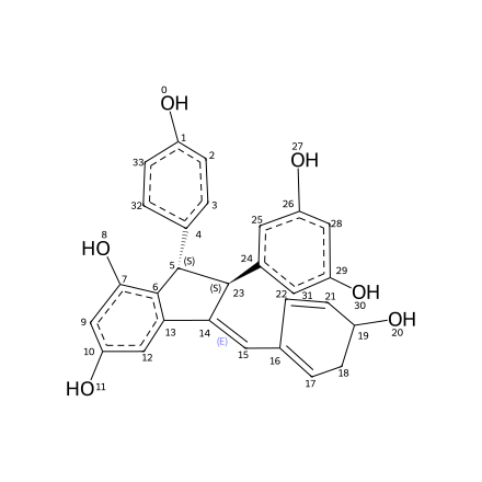 Oc1ccc([C@H]2c3c(O)cc(O)cc3/C(=C/C3=CCC(O)C=C3)[C@@H]2c2cc(O)cc(O)c2)cc1